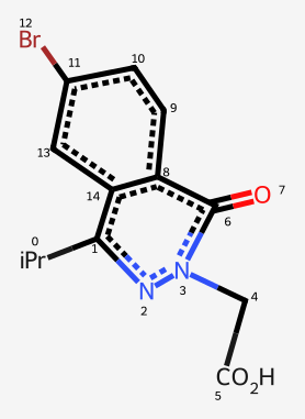 CC(C)c1nn(CC(=O)O)c(=O)c2ccc(Br)cc12